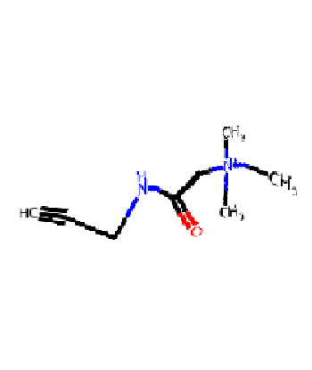 C#CCNC(=O)C[N+](C)(C)C